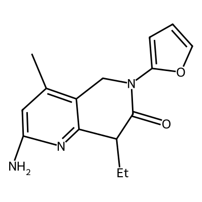 CCC1C(=O)N(c2ccco2)Cc2c(C)cc(N)nc21